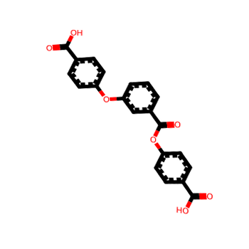 O=C(O)c1ccc(OC(=O)c2cccc(Oc3ccc(C(=O)O)cc3)c2)cc1